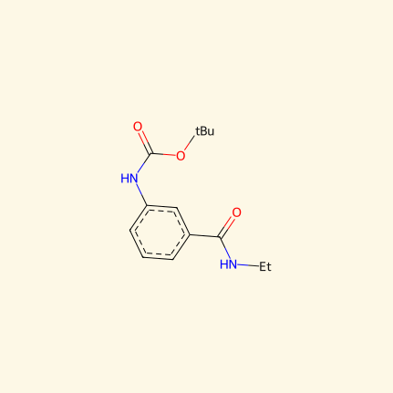 CCNC(=O)c1cccc(NC(=O)OC(C)(C)C)c1